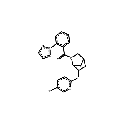 O=C(c1ccccc1-n1nccn1)N1CC2CC(Oc3ccc(Br)cn3)C1C2